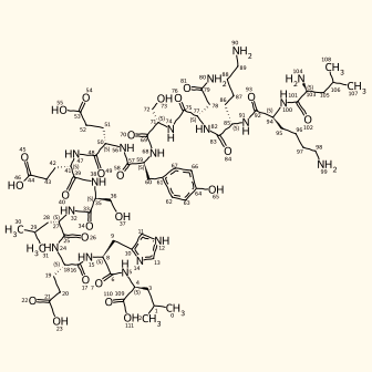 CC(C)C[C@H](NC(=O)[C@H](Cc1c[nH]cn1)NC(=O)[C@H](CCC(=O)O)NC(=O)[C@H](CC(C)C)NC(=O)[C@H](CO)NC(=O)[C@H](CCC(=O)O)NC(=O)[C@H](CCC(=O)O)NC(=O)[C@H](Cc1ccc(O)cc1)NC(=O)[C@H](CO)NC(=O)[C@H](CC(N)=O)NC(=O)[C@H](CCCCN)NC(=O)[C@H](CCCCN)NC(=O)[C@@H](N)CC(C)C)C(=O)O